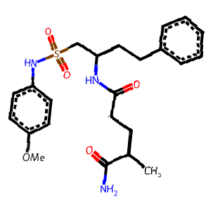 COc1ccc(NS(=O)(=O)CC(CCc2ccccc2)NC(=O)[CH]CC(C)C(N)=O)cc1